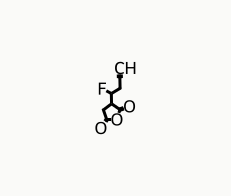 C#CCC(F)C1CC(=O)OC1=O